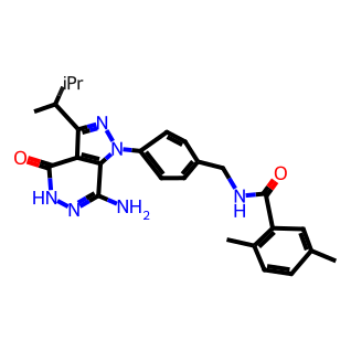 Cc1ccc(C)c(C(=O)NCc2ccc(-n3nc(C(C)C(C)C)c4c(=O)[nH]nc(N)c43)cc2)c1